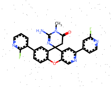 CN1C(=O)CC2(N=C1N)c1cc(-c3cccnc3F)ccc1Oc1cnc(-c3ccnc(F)c3)cc12